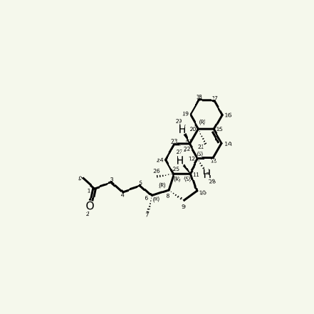 CC(=O)CCC[C@@H](C)[C@H]1CC[C@H]2[C@@H]3CC=C4CCCC[C@]4(C)[C@H]3CC[C@]12C